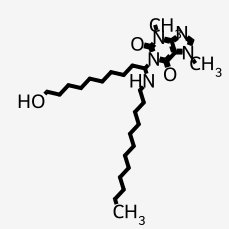 CCCCCCCCCCCCNC(CCCCCCCCCO)n1c(=O)c2c(ncn2C)n(C)c1=O